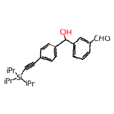 CC(C)[Si](C#Cc1ccc(C(O)c2cccc(C=O)c2)cc1)(C(C)C)C(C)C